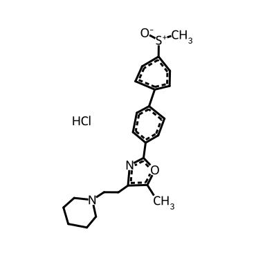 Cc1oc(-c2ccc(-c3ccc([S+](C)[O-])cc3)cc2)nc1CCN1CCCCC1.Cl